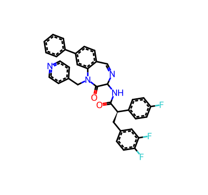 O=C(NC1N=Cc2ccc(-c3ccccc3)cc2N(Cc2ccncc2)C1=O)[C@H](Cc1ccc(F)c(F)c1)c1ccc(F)cc1